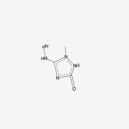 CCCNc1nc(=O)[nH]n1C